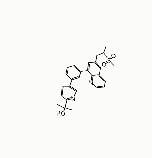 CC(Cc1cc(-c2cccc(-c3ccc(C(C)(C)O)nc3)c2)c2ncccc2c1)S(C)(=O)=O